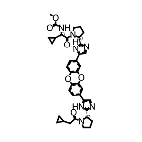 COC(=O)N[C@H](C(=O)N1CCC[C@H]1c1ncc(-c2ccc3c(c2)Oc2cc(-c4cnc([C@@H]5CCCN5C(=O)CC5CC5)[nH]4)ccc2O3)[nH]1)C1CC1